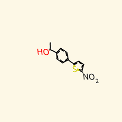 CC(O)c1ccc(-c2ccc([N+](=O)[O-])s2)cc1